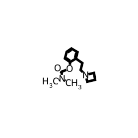 CN(C)C(=O)Oc1ccccc1CCN1CCC1